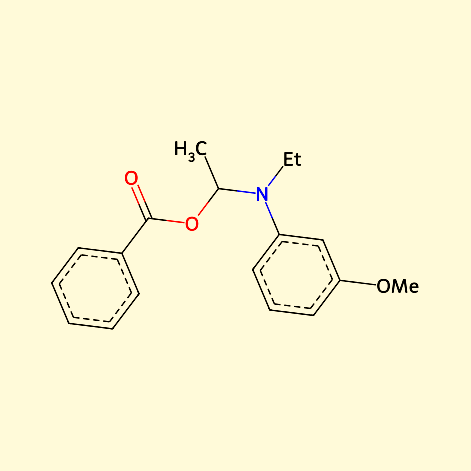 CCN(c1cccc(OC)c1)C(C)OC(=O)c1ccccc1